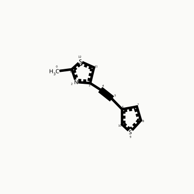 Cc1nc(C#Cc2ccsc2)cs1